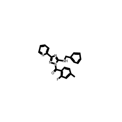 Cc1ccc(C(=O)n2nc(-c3ccccn3)nc2NCc2ccccc2)c(F)c1